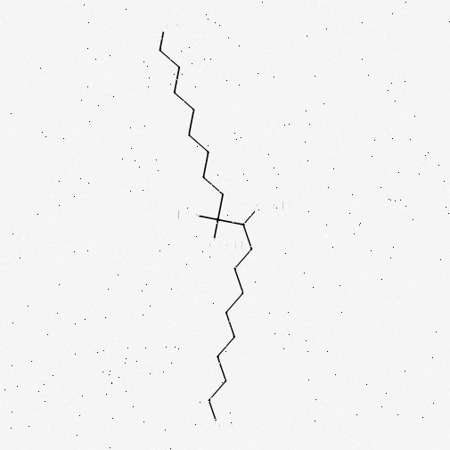 CCCCCCCCCCCCCCCCCCC(C(=O)O)C(O)(CCCCCCCCCCCCCCCCCC)C(=O)O